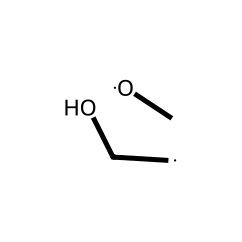 C[O].[CH2]CO